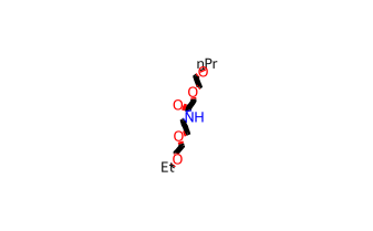 CCCOCCOCC(=O)NCCOCCOCC